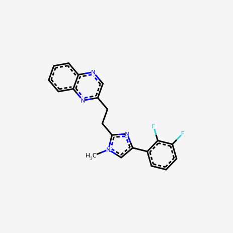 Cn1cc(-c2cccc(F)c2F)nc1CCc1cnc2ccccc2n1